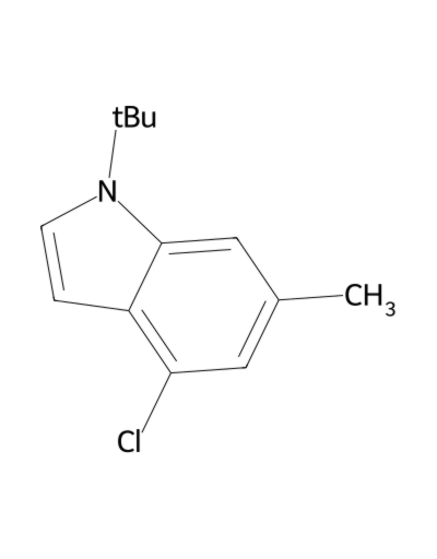 Cc1cc(Cl)c2ccn(C(C)(C)C)c2c1